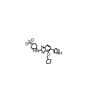 C[C@@H]1CN(S(C)(=O)=O)CC[C@@H]1Nc1nc2ccc(-c3cn[nH]c3)c(OCC3CCCC3)n2n1